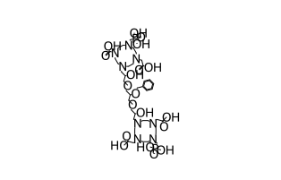 O=C(O)CN1CCN(CC(O)COCC(COCC(O)CN2CCN(CC(=O)O)CCN(CP(=O)(O)O)CCN(C(=O)O)CC2)OCc2ccccc2)CCN(CC(=O)O)CCN(CP(=O)(O)O)CC1